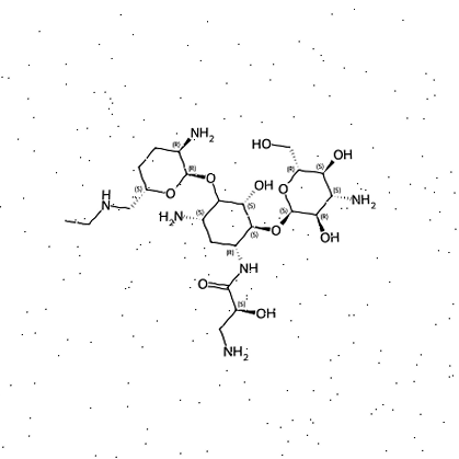 CCNC[C@@H]1CC[C@@H](N)[C@@H](OC2[C@@H](N)C[C@@H](NC(=O)[C@@H](O)CN)[C@H](O[C@H]3O[C@H](CO)[C@@H](O)[C@H](N)[C@H]3O)[C@H]2O)O1